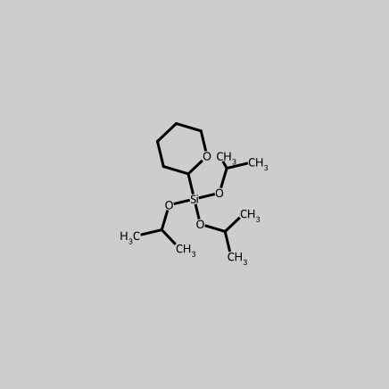 CC(C)O[Si](OC(C)C)(OC(C)C)C1CCCCO1